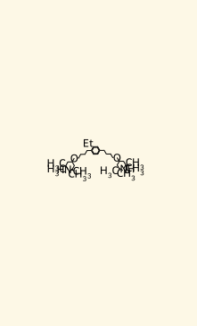 CCc1cc(CCCCOC2CC(C)(C)NC(C)(C)C2)ccc1CCCCOC1CC(C)(C)NC(C)(C)C1